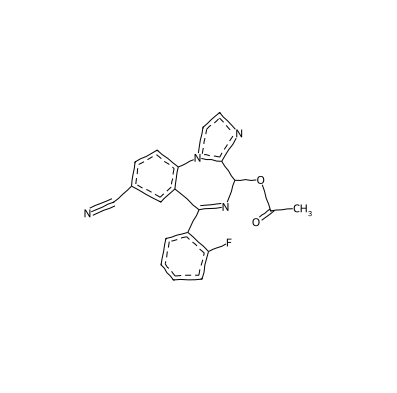 CC(=O)OC1N=C(c2ccccc2F)c2cc(C#N)ccc2-n2ccnc21